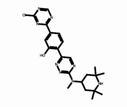 CN(c1ncc(-c2ccc(-c3ncnc(Cl)n3)cc2O)nn1)C1CC(C)(C)NC(C)(C)C1